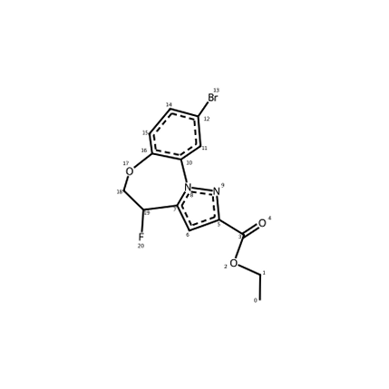 CCOC(=O)c1cc2n(n1)-c1cc(Br)ccc1OCC2F